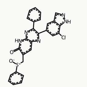 O=c1[nH]c2nc(-c3ccccc3)c(-c3cc(Cl)c4[nH]ncc4c3)nc2cc1C[S+]([O-])c1ccccc1